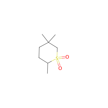 CC1CCC(C)(C)CS1(=O)=O